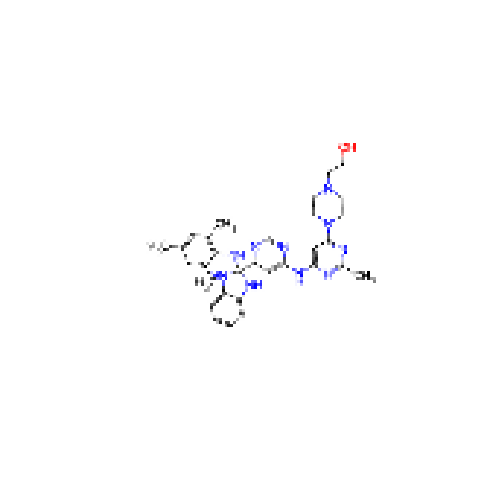 Cc1cc(C)c(NC2(c3cc(Nc4cc(N5CCN(CCO)CC5)nc(C)n4)ncn3)Nc3ccccc3N2)c(C)c1